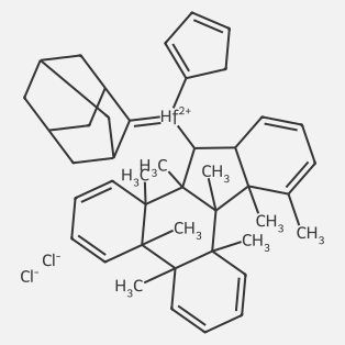 CC1=CC=CC2[CH]([Hf+2]([C]3=CC=CC3)=[C]3C4CC5CC(C4)CC3C5)C3(C)C4(C)C=CC=CC4(C)C4(C)C=CC=CC4(C)C3(C)C12C.[Cl-].[Cl-]